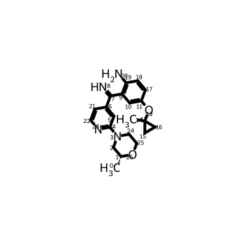 C[C@@H]1CN(c2cc(C(=N)c3cc(OC4(C)CC4)ccc3N)ccn2)CCO1